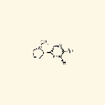 [2H]c1cc(C2CCCN2C)cnc1[2H]